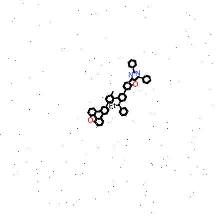 CCC(c1ccccc1)c1ccc(-c2ccc3c(c2)oc2c(-c4ccccc4)nc(-c4ccccc4)nc23)cc1-c1cc(-c2ccc3c(c2)c2cccc4oc5cccc3c5c42)ccc1C